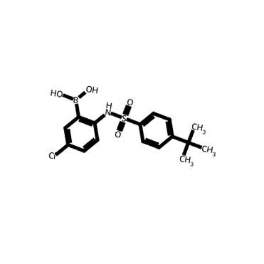 CC(C)(C)c1ccc(S(=O)(=O)Nc2ccc(Cl)cc2B(O)O)cc1